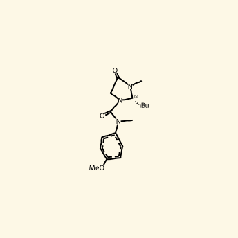 CCCC[C@H]1N(C)C(=O)CN1C(=O)N(C)c1ccc(OC)cc1